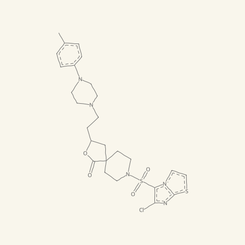 Cc1ccc(N2CCN(CCC3CC4(CCN(S(=O)(=O)c5c(Cl)nc6sccn56)CC4)C(=O)O3)CC2)cc1